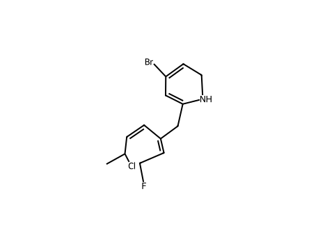 CC(Cl)/C=C\C(=C/CF)CC1=CC(Br)=CCN1